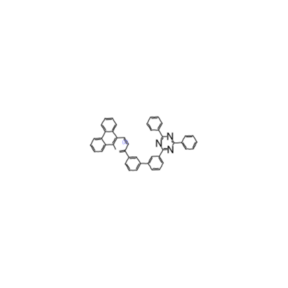 C=C(/C=C\c1c(C)c2ccccc2c2ccccc12)c1cccc(-c2cccc(-c3nc(-c4ccccc4)nc(-c4ccccc4)n3)c2)c1